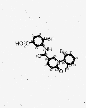 O=C(O)c1ccc(Br)c(NC(=O)c2ccc(=O)n(-c3c(F)cccc3F)c2)c1